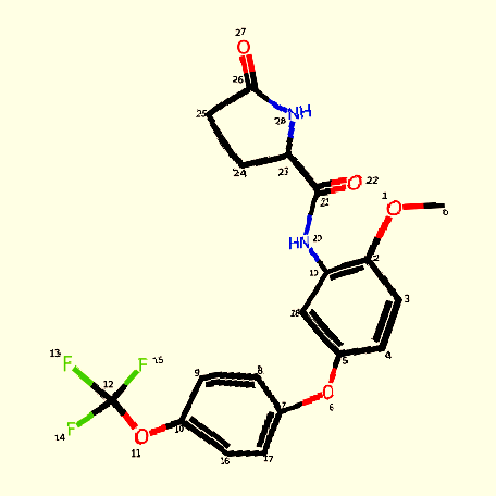 COc1ccc(Oc2ccc(OC(F)(F)F)cc2)cc1NC(=O)C1CCC(=O)N1